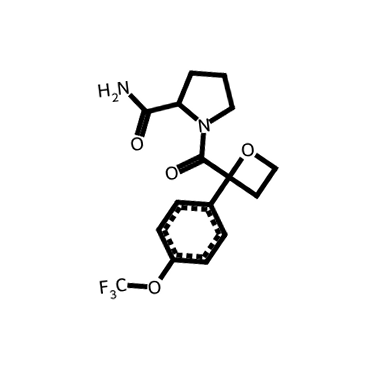 NC(=O)C1CCCN1C(=O)C1(c2ccc(OC(F)(F)F)cc2)CCO1